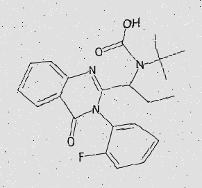 CCC(c1nc2ccccc2c(=O)n1-c1ccccc1F)N(C(=O)O)C(C)(C)C